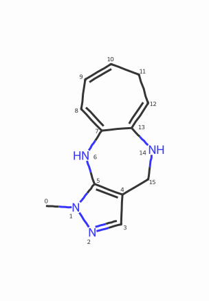 Cn1ncc2c1NC1=CC=CCC=C1NC2